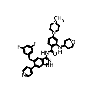 CN1CCN(c2ccc(C(=O)Nc3n[nH]c4cc(-c5ccncc5)c(Cc5cc(F)cc(F)c5)cc34)c(NC3CCOCC3)c2)CC1